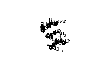 COc1cccc(S(=O)(=O)Nc2ccc(Oc3cc(C)nc4ccc(F)cc34)cc2F)c1.Cc1cc(Oc2ccc(C(N)=O)c(F)c2)c2cc(F)ccc2n1.Cc1cc(Oc2ccc(NS(=O)(=O)c3cccc(C#N)c3)c(F)c2)c2cc(F)ccc2n1